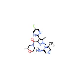 Cc1c(-c2ncc(F)cn2)c(C(=O)N2C[C@@H](C)O[C@@H](C)[C@H]2CNc2cncc(C(F)(F)F)n2)nn1C